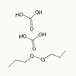 CCCOOCCC.O=C(O)O.O=C(O)O